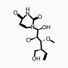 C=C[C@@H](CO)[C@@H](OC)[C@@H](Cl)[C@H](O)n1ccc(=O)[nH]c1=O